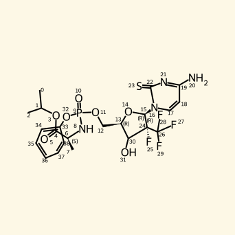 CC(C)OC(=O)[C@H](C)NP(=O)(OC[C@H]1O[C@@H](n2ccc(N)nc2=S)[C@@](F)(C(F)(F)F)C1O)Oc1ccccc1